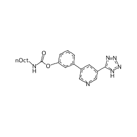 CCCCCCCCNC(=O)Oc1cccc(-c2cncc(-c3nnn[nH]3)c2)c1